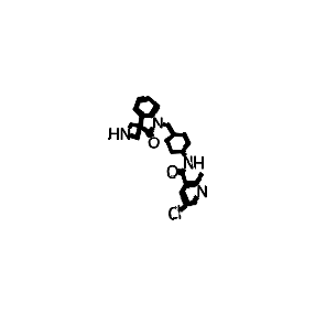 Cc1ncc(Cl)cc1C(=O)NC1CCC(CN2C(=O)C3(CNC3)c3ccccc32)CC1